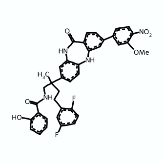 COc1cc(-c2ccc3c(c2)Nc2ccc(C(C)(CCc4cc(F)ccc4F)CNC(=O)c4ccccc4O)cc2NC3=O)ccc1[N+](=O)[O-]